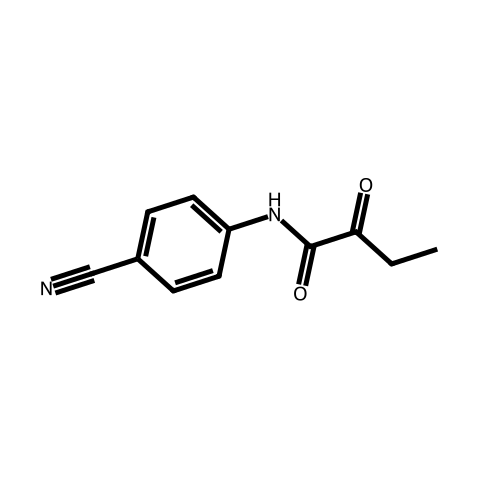 CCC(=O)C(=O)Nc1ccc(C#N)cc1